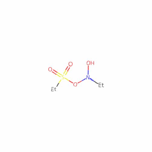 CCN(O)OS(=O)(=O)CC